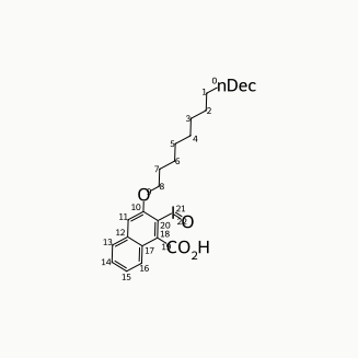 CCCCCCCCCCCCCCCCCCOc1cc2ccccc2c(C(=O)O)c1I=O